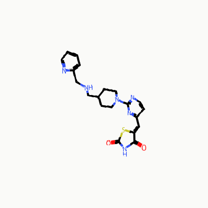 O=C1NC(=O)C(=Cc2ccnc(N3CCC(CNCc4ccccn4)CC3)n2)S1